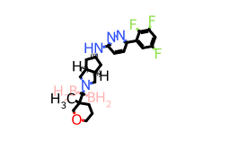 BC(B)(N1C[C@H]2C[C@H](Nc3ccc(-c4cc(F)cc(F)c4F)nn3)C[C@H]2C1)C1(C)CCCOC1